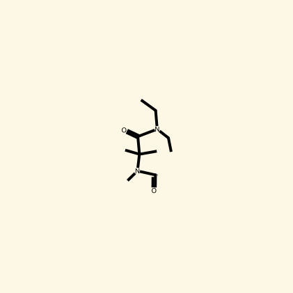 CCN(CC)C(=O)C(C)(C)N(C)[C]=O